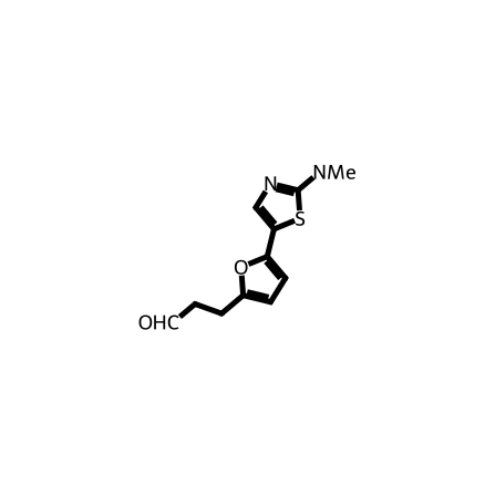 CNc1ncc(-c2ccc(CCC=O)o2)s1